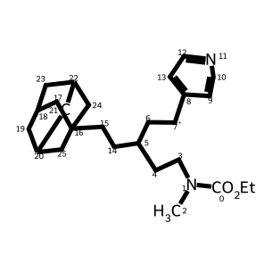 CCOC(=O)N(C)CCC(C[CH]c1ccncc1)CCC12CC3CC(CC(C3)C1)C2